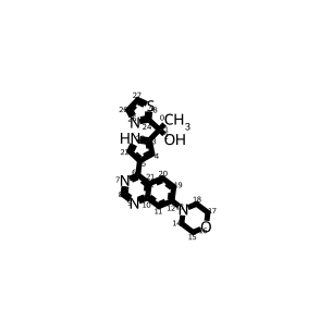 CC(O)(c1cc(-c2ncnc3cc(N4CCOCC4)ccc23)c[nH]1)c1nccs1